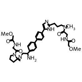 COCC(=O)NCC(=O)N(C)CCCc1ncc(-c2ccc(-c3ccc(C(N)CN4CC45CCCN5C(=O)CNC(=O)COC)cc3)cc2)[nH]1